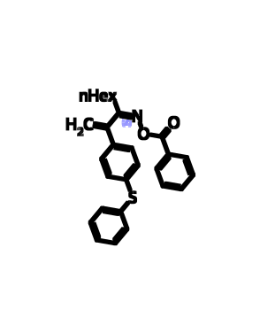 C=C(/C(CCCCCC)=N\OC(=O)c1ccccc1)c1ccc(Sc2ccccc2)cc1